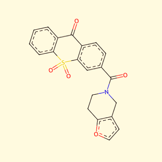 O=C1c2ccccc2S(=O)(=O)c2cc(C(=O)N3CCc4occc4C3)ccc21